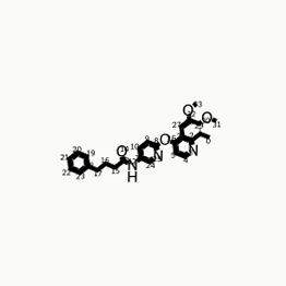 CCc1nccc(Oc2ccc(NC(=O)CCCc3ccccc3)cn2)c1/C=C(\COC)OC